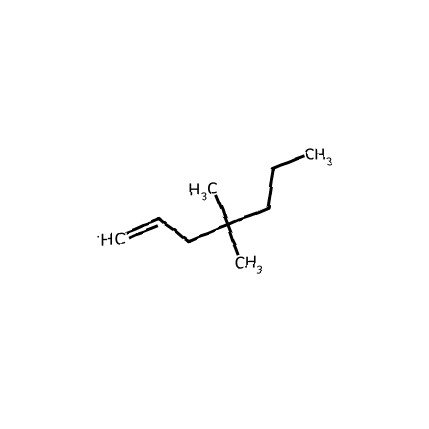 [CH]=CCC(C)(C)CCC